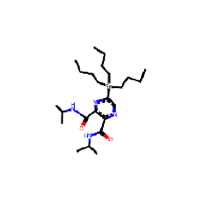 CCC[CH2][Sn]([CH2]CCC)([CH2]CCC)[c]1cnc(C(=O)NC(C)C)c(C(=O)NC(C)C)n1